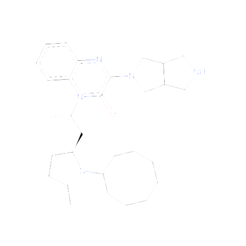 CC1CC[C@@H](C[C@H](C)n2c(=O)c(N3CC4CNCC4C3)nc3ccccc32)N1C1CCCCCCC1